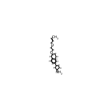 C/C=C/COCCOC1CCc2cc(C3CCC(N)C3)ccc2C1